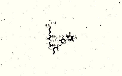 CC[C@H](C)[C@H](NC(=O)[C@H](C)NC(=O)[C@@H](N)CCCCN)C(=O)OC[C@H]1O[C@@H](n2cc(F)c(=O)[nH]c2=O)[C@H](O)[C@@H]1O.Cl.Cl